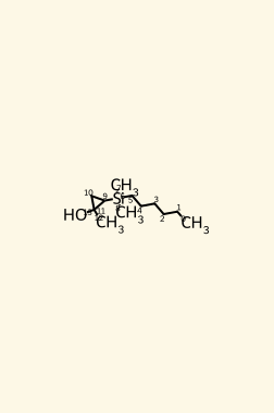 CCCCCC[Si](C)(C)C1CC1(C)O